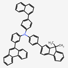 CC1(C)c2ccccc2-c2ccc(-c3ccc(N(c4ccc(-c5cccc6ccccc56)cc4)c4cccc(-c5cc6ccccc6c6ccccc56)c4)cc3)cc21